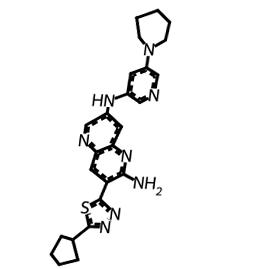 Nc1nc2cc(Nc3cncc(N4CCCCC4)c3)cnc2cc1-c1nnc(C2CCCC2)s1